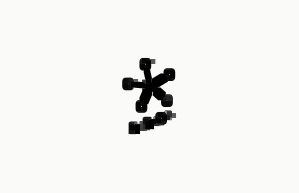 [O-2].[O]=[Ru](=[O])(=[O])([O-])[O-].[Sr+2].[Sr+2]